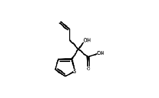 C=CCC(O)(C(=O)O)c1cccs1